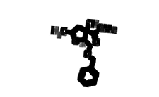 COC(=O)C1(C)CC(C)O[C@@H]1COCc1ccccc1